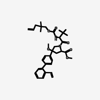 C=CCC(C)(C)COC(=O)N[C@H](C(=O)N1CC(OC)(c2ccc(-c3ccccc3C=C)cc2)CC1C(=O)OC)C(C)(C)C